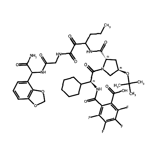 CCCC(NC(=O)[C@@H]1C[C@@H](OC(C)(C)C)CN1C(=O)[C@@H](NC(=O)c1c(F)c(F)c(F)c(F)c1C(=O)O)C1CCCCC1)C(=O)C(=O)NCC(=O)NC(C(N)=O)c1cccc2c1OCO2